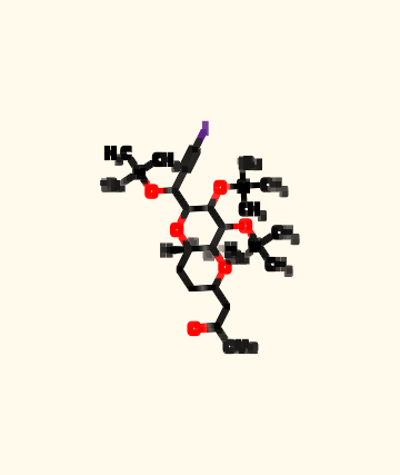 COC(=O)CC1CC[C@@H]2OC(C(C#CI)O[Si](C)(C)C(C)(C)C)C(O[Si](C)(C)C(C)(C)C)C(O[Si](C)(C)C(C)(C)C)[C@H]2O1